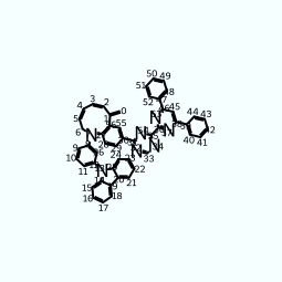 C=C1/C=C\C=C/CN(c2cccc(-n3c4ccccc4c4ccccc43)c2)c2ccc(-c3ncnc(-c4nc(-c5ccccc5)cc(-c5ccccc5)n4)n3)cc21